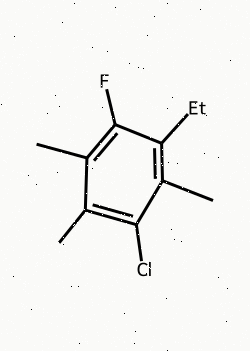 CCc1c(C)c(Cl)c(C)c(C)c1F